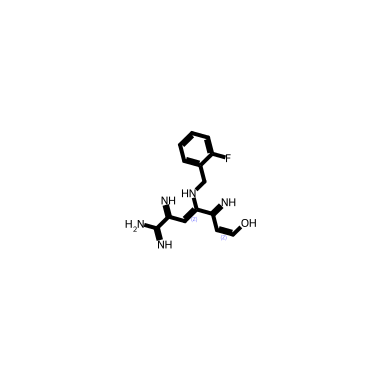 N=C(N)C(=N)/C=C(\NCc1ccccc1F)C(=N)/C=C\O